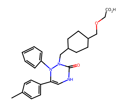 Cc1ccc(C2=CNC(=O)N(CC3CCC(COCC(=O)O)CC3)N2c2ccccc2)cc1